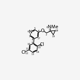 CNC1(COc2cncc(-c3cc(Cl)ccc3Cl)c2)CC1